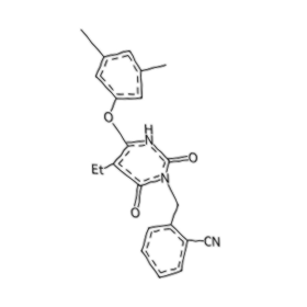 CCc1c(Oc2cc(C)cc(C)c2)[nH]c(=O)n(Cc2ccccc2C#N)c1=O